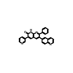 O=c1[nH]c2nc(-c3ccccc3)c(-c3ccc4ncccc4c3)cc2cc1-c1cccnc1